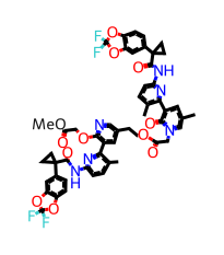 COC(=O)COc1ncc(CCOC(=O)Cn2cc(C)cc(-c3nc(NC(=O)C4(c5ccc6c(c5)OC(F)(F)O6)CC4)ccc3C)c2=O)cc1-c1nc(NC(=O)C2(c3ccc4c(c3)OC(F)(F)O4)CC2)ccc1C